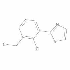 ClCc1cccc(-c2nccs2)c1Cl